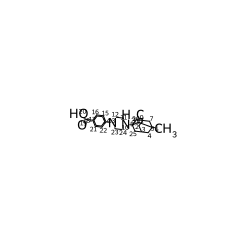 CC12CC3CC(C)(C1)CC(N1CCN(c4ccc(C(=O)O)cc4)CC1)(C3)C2